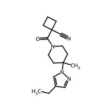 CCc1cnn(C2(C)CCN(C(=O)C3(C#N)CCC3)CC2)c1